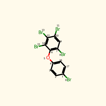 Brc1ccc(Oc2c(Br)cc(Br)c(Br)c2Br)cc1